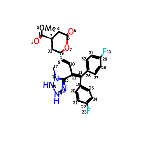 COC(=O)[C@H]1CC(=O)O[C@H](/C=C/C(C2=NNNN2C)=C(c2ccc(F)cc2)c2ccc(F)cc2)C1